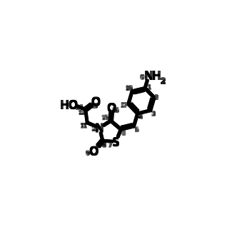 Nc1ccc(C=C2SC(=O)N(CC(=O)O)C2=O)cc1